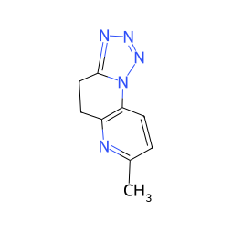 Cc1ccc2c(n1)CCc1nnnn1-2